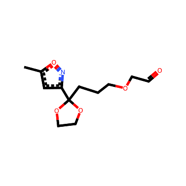 Cc1cc(C2(CCCOCC=O)OCCO2)no1